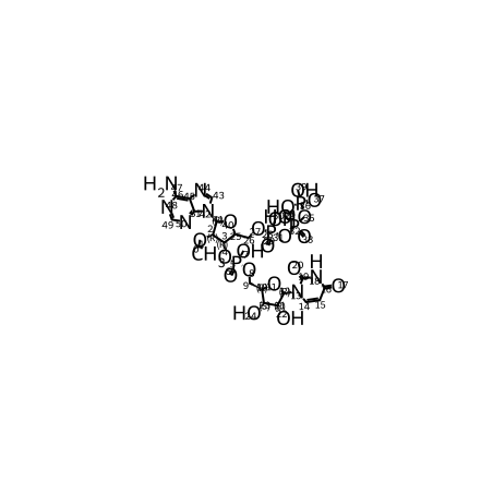 CO[C@@H]1[C@H](OP(=O)(O)OC[C@H]2O[C@@H](n3ccc(=O)[nH]c3=O)[C@H](O)[C@@H]2O)C(COP(=O)(O)OP(=O)(O)OP(=O)(O)O)O[C@H]1n1cnc2c(N)ncnc21